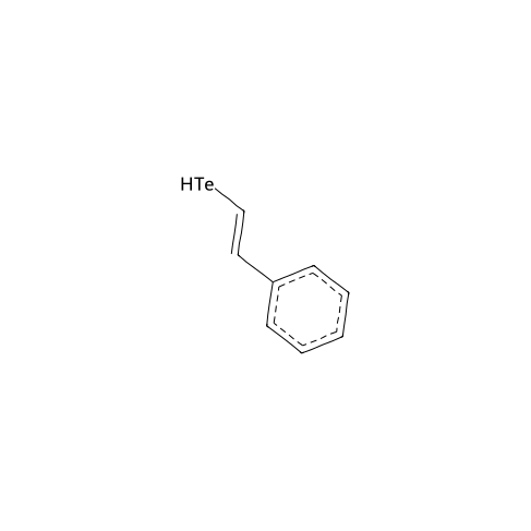 [TeH]C=Cc1ccccc1